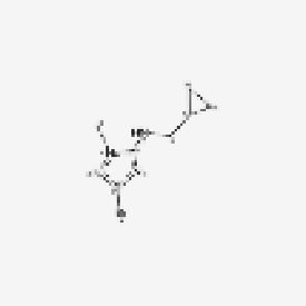 Cn1nc(Br)nc1NCC1CC1